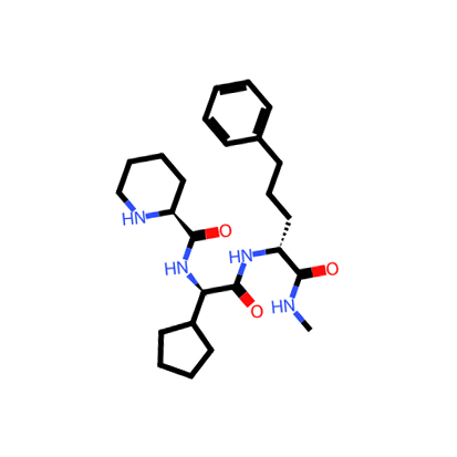 CNC(=O)[C@@H](CCCc1ccccc1)NC(=O)[C@H](NC(=O)[C@@H]1CCCCN1)C1CCCC1